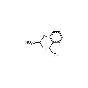 C/C(=C/C(C(=O)O)C(C)C)c1ccccc1